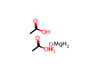 CC(=O)O.CC(=O)O.O.[MgH2]